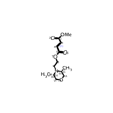 COC(=O)/C=C/C(=O)OCCN1[C@@H](C)COC[C@@H]1C